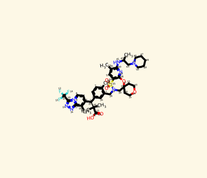 Cc1ccc([C@H](c2ccn3c(C(F)(F)F)nnc3c2C)C(C)(C)C(=O)O)cc1CN1CC2(CCOCC2)Oc2nc(NC(C)CN3CCCCC3)c(C)cc2S1(=O)=O